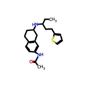 CCC(CCc1cccs1)NC1CCc2ccc(NC(C)=O)cc2C1